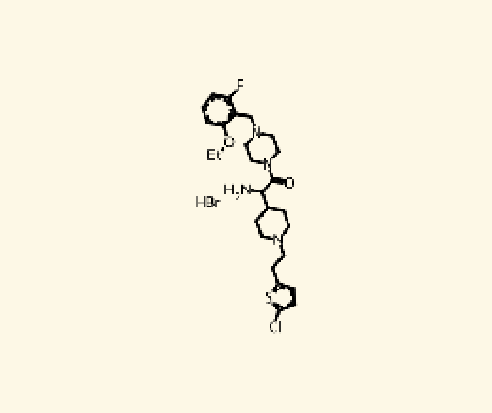 Br.CCOc1cccc(F)c1CN1CCN(C(=O)[C@H](N)C2CCN(CCc3ccc(Cl)s3)CC2)CC1